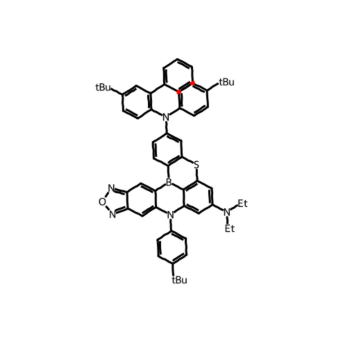 CCN(CC)c1cc2c3c(c1)N(c1ccc(C(C)(C)C)cc1)c1cc4nonc4cc1B3c1ccc(N(c3ccc(C(C)(C)C)cc3)c3ccc(C(C)(C)C)cc3-c3ccccc3)cc1S2